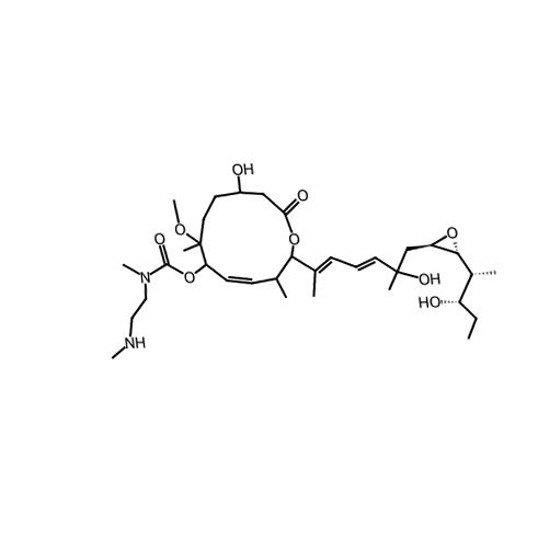 CC[C@H](O)[C@@H](C)[C@H]1O[C@@H]1CC(C)(O)/C=C/C=C(\C)C1OC(=O)CC(O)CCC(C)(OC)C(OC(=O)N(C)CCNC)C=CC1C